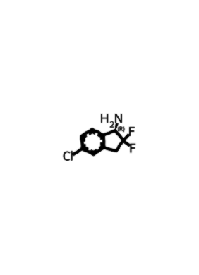 N[C@@H]1c2ccc(Cl)cc2CC1(F)F